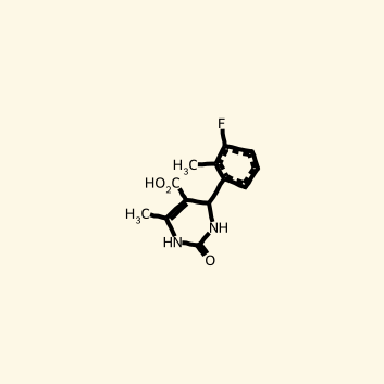 CC1=C(C(=O)O)C(c2cccc(F)c2C)NC(=O)N1